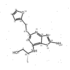 C[C@H](CO)Nc1nc(SCc2ccco2)nc2nc(N)sc12